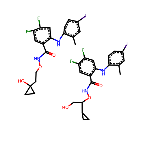 Cc1cc(I)ccc1Nc1cc(F)c(F)cc1C(=O)NOC(CO)C1CC1.Cc1cc(I)ccc1Nc1cc(F)c(F)cc1C(=O)NOCCC1(O)CC1